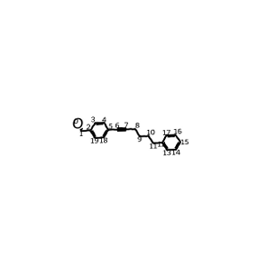 O=Cc1ccc(C#CCCCCc2ccccc2)cc1